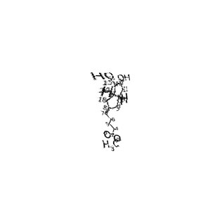 COC(=O)CCC/C=C1\C[C@H]2C[C@@H](O)[C@H](CO)[C@H]2C1